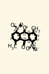 Cc1ccc([N+](=O)[O-])c2c1C(=O)c1c([N+](=O)[O-])ccc(C)c1C2=O